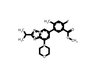 COC(=O)c1cc(-c2cc(N3CCOCC3)c3nc(C(C)C)nn3c2)c(C)cc1F